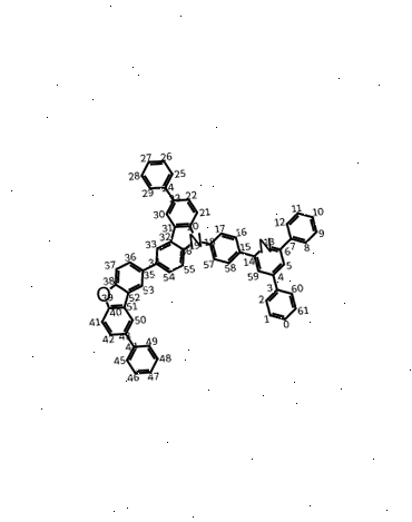 c1ccc(-c2cc(-c3ccccc3)nc(-c3ccc(-n4c5ccc(-c6ccccc6)cc5c5cc(-c6ccc7oc8ccc(-c9ccccc9)cc8c7c6)ccc54)cc3)c2)cc1